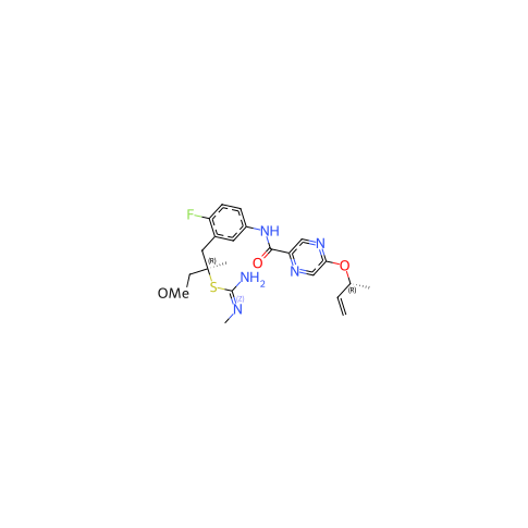 C=C[C@@H](C)Oc1cnc(C(=O)Nc2ccc(F)c(C[C@](C)(COC)S/C(N)=N\C)c2)cn1